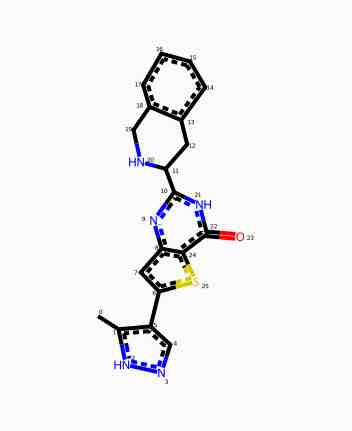 Cc1[nH]ncc1-c1cc2nc(C3Cc4ccccc4CN3)[nH]c(=O)c2s1